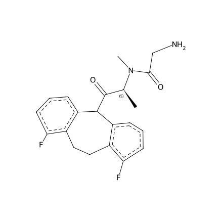 C[C@@H](C(=O)C1c2cccc(F)c2CCc2c(F)cccc21)N(C)C(=O)CN